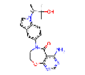 C[C@H](n1ccc2cc(N3CCOc4ncnc(N)c4C3=O)ccc21)C(C)(C)O